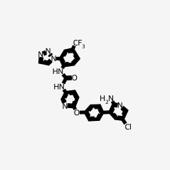 Nc1ncc(Cl)cc1-c1ccc(Oc2ccc(NC(=O)Nc3ccc(C(F)(F)F)cc3-n3ccnn3)cn2)cc1